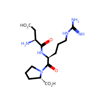 N=C(N)NCCC[C@H](NC(=O)[C@@H](N)CC(=O)O)C(=O)N1CCC[C@H]1C(=O)O